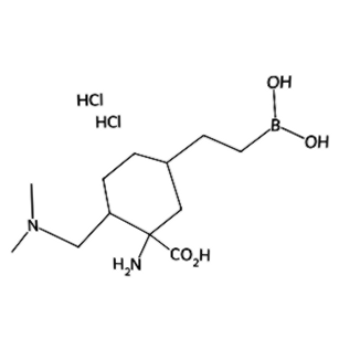 CN(C)CC1CCC(CCB(O)O)CC1(N)C(=O)O.Cl.Cl